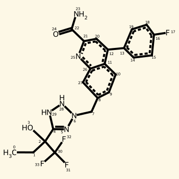 CCC(O)(C1=NN(Cc2ccc3c(-c4ccc(F)cc4)cc(C(N)=O)nc3c2)NN1)C(F)(F)F